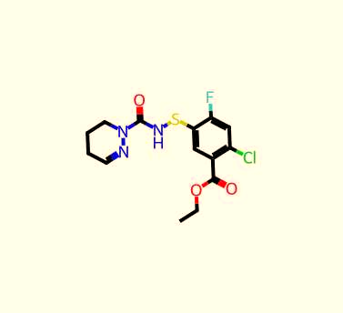 CCOC(=O)c1cc(SNC(=O)N2CCCC=N2)c(F)cc1Cl